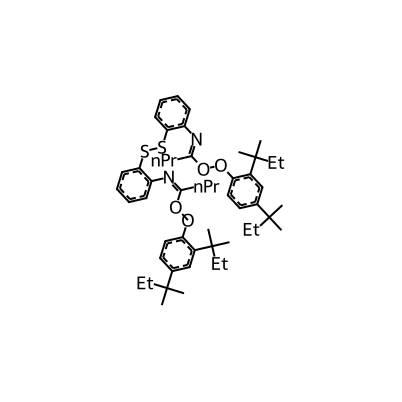 CCCC(=Nc1ccccc1SSc1ccccc1N=C(CCC)OOc1ccc(C(C)(C)CC)cc1C(C)(C)CC)OOc1ccc(C(C)(C)CC)cc1C(C)(C)CC